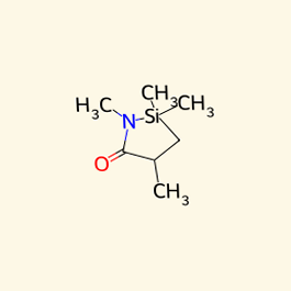 CC1C[Si](C)(C)N(C)C1=O